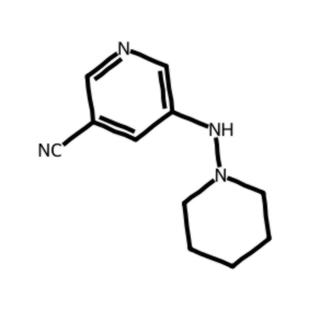 N#Cc1cncc(NN2CCCCC2)c1